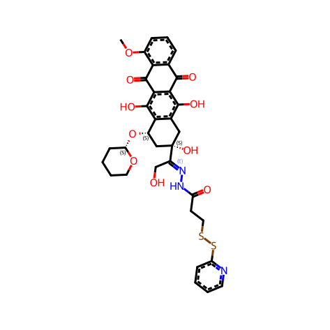 COc1cccc2c1C(=O)c1c(O)c3c(c(O)c1C2=O)C[C@@](O)(/C(CO)=N/NC(=O)CCSSc1ccccn1)C[C@@H]3O[C@H]1CCCCO1